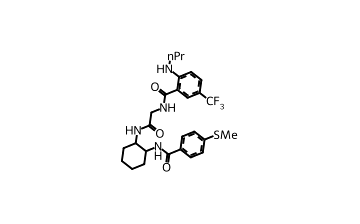 CCCNc1ccc(C(F)(F)F)cc1C(=O)NCC(=O)NC1CCCCC1NC(=O)c1ccc(SC)cc1